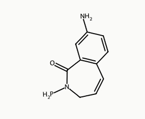 Nc1ccc2c(c1)C(=O)N(P)CC=C2